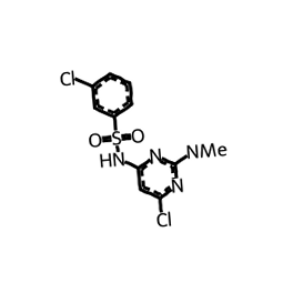 CNc1nc(Cl)cc(NS(=O)(=O)c2cccc(Cl)c2)n1